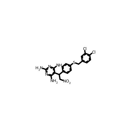 Nc1nc(N)c(C(C[N+](=O)[O-])c2ccc(SCc3ccc(Cl)c(Cl)c3)cc2)c(N)n1